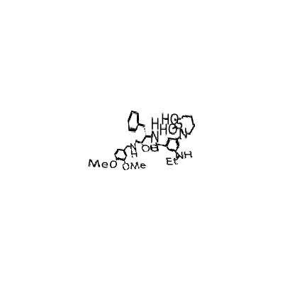 CCNc1cc(C(=O)N[C@@H](Cc2ccccc2)[C@H](O)CNCc2ccc(OC)c(OC)c2)cc(N2CCCCS2(O)O)c1